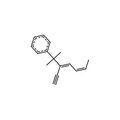 C#C/C(=C\C=C/C)C(C)(C)c1ccccc1